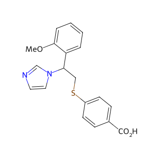 COc1ccccc1C(CSc1ccc(C(=O)O)cc1)n1ccnc1